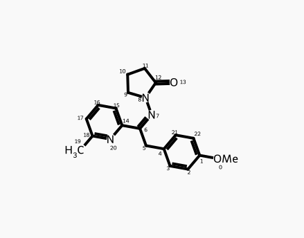 COc1ccc(CC(=NN2CCCC2=O)c2cccc(C)n2)cc1